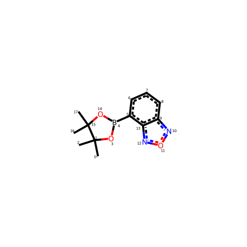 CC1(C)OB(c2cccc3nonc23)OC1(C)C